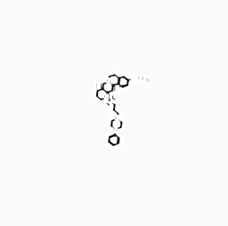 COc1ccc2c(c1)CCN1C[C@H]3CCCN(S(=O)(=O)CCCN4CCN(c5ccccc5)CC4)[C@H]3C[C@@H]21